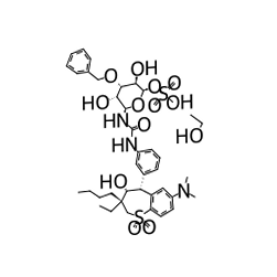 CCCC[C@]1(CC)CS(=O)(=O)c2ccc(N(C)C)cc2[C@@H](c2cccc(NC(=O)N[C@@H]3O[C@H](OS(=O)(=O)O)[C@H](O)[C@@H](OCc4ccccc4)[C@H]3O)c2)[C@H]1O.CCO